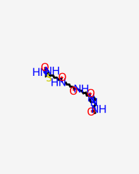 CC(=O)NCCN1CCN(C(=O)CCCCCNC(=O)CCCCCNC(=O)CCCCC2SCC3NC(=O)NC32)CC1